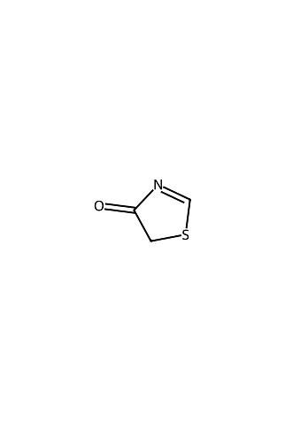 O=C1CSC=N1